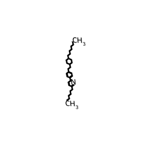 CCCCCCCCC1CCC(CCc2ccc(-c3ccc(CCCCCCC)cn3)cc2)CC1